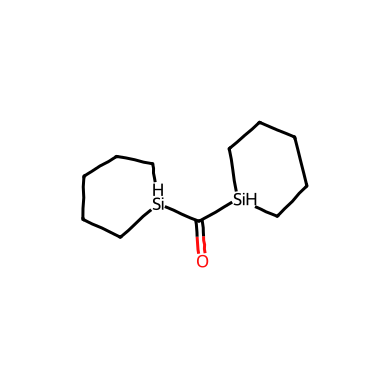 O=C([SiH]1CCCCC1)[SiH]1CCCCC1